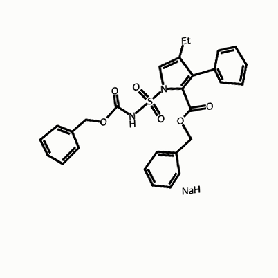 CCc1cn(S(=O)(=O)NC(=O)OCc2ccccc2)c(C(=O)OCc2ccccc2)c1-c1ccccc1.[NaH]